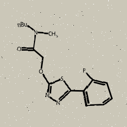 CCCCN(C)C(=O)COc1nnc(-c2ccccc2F)s1